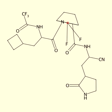 N#CC(CC1CCNC1=O)NC(=O)C1C2CCC(CC2(F)F)N1C(=O)C(CC1CCC1)NC(=O)C(F)(F)F